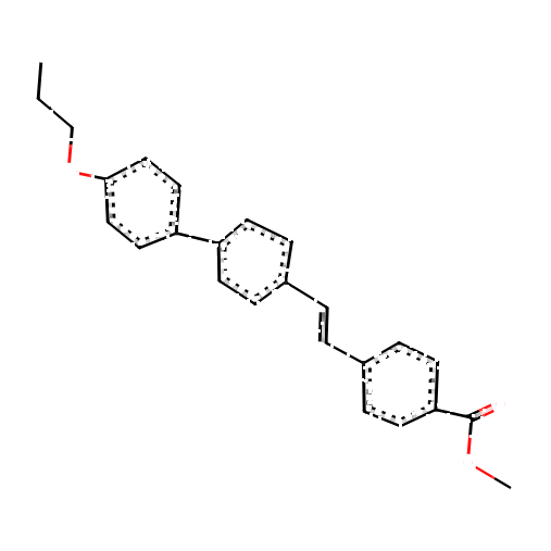 CCCOc1ccc(-c2ccc(C=Cc3ccc(C(=O)OC)cc3)cc2)cc1